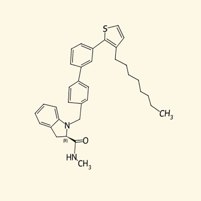 CCCCCCCCc1ccsc1-c1cccc(-c2ccc(CN3c4ccccc4C[C@@H]3C(=O)NC)cc2)c1